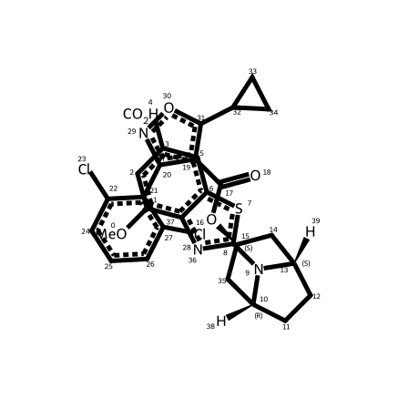 COc1cc(C(=O)O)cc2sc(N3[C@@H]4CC[C@H]3C[C@H](OC(=O)c3c(-c5c(Cl)cccc5Cl)noc3C3CC3)C4)nc12